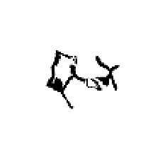 Cc1cccnc1OC(C)(C)C